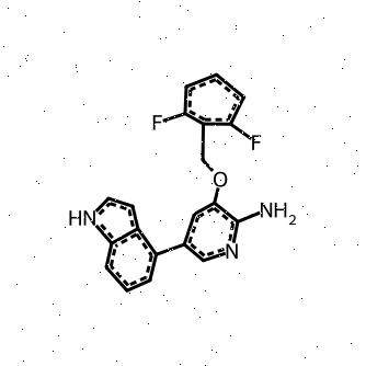 Nc1ncc(-c2cccc3[nH]ccc23)cc1OCc1c(F)cccc1F